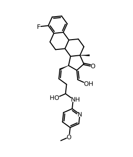 COc1ccc(NC(O)C/C=C\[C@@H]2/C(=C/O)C(=O)[C@@]3(C)CCC4c5cccc(F)c5CCC4C23)nc1